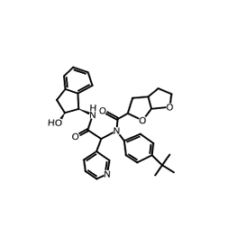 CC(C)(C)c1ccc(N(C(=O)C2CC3CCOC3O2)C(C(=O)N[C@@H]2c3ccccc3C[C@@H]2O)c2cccnc2)cc1